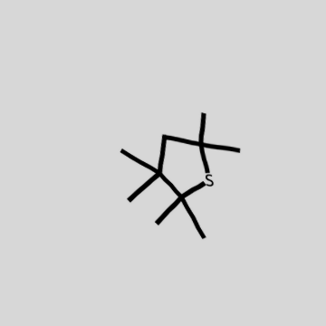 CC1(C)CC(C)(C)C(C)(C)S1